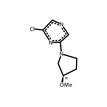 CO[C@@H]1CCN(c2cncc(Cl)n2)C1